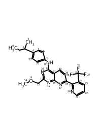 CCC(C)c1ccc(Nc2nc(COC)nc3nc(-c4ncccc4C(F)(F)F)ccc23)cc1